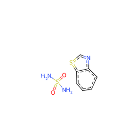 NS(N)(=O)=O.c1ccc2scnc2c1